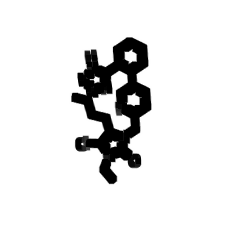 CCCCc1c(Cl)n(CC)c(=O)n1Cc1ccc(-c2ccccc2-c2nnn[nH]2)cn1